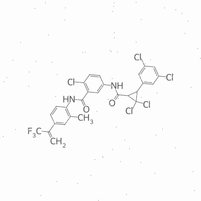 C=C(c1ccc(NC(=O)c2cc(NC(=O)C3C(c4cc(Cl)cc(Cl)c4)C3(Cl)Cl)ccc2Cl)c(C)c1)C(F)(F)F